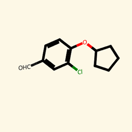 O=Cc1ccc(OC2CCCC2)c(Cl)c1